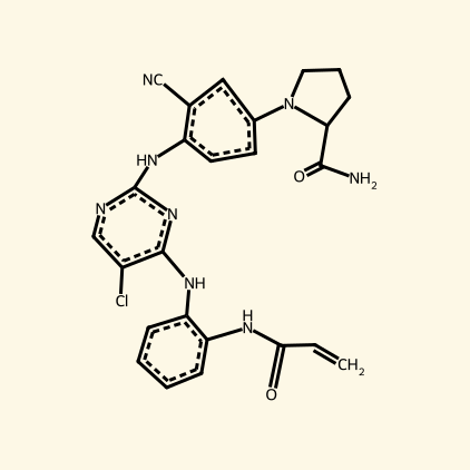 C=CC(=O)Nc1ccccc1Nc1nc(Nc2ccc(N3CCCC3C(N)=O)cc2C#N)ncc1Cl